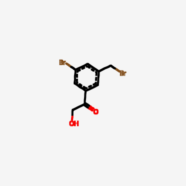 O=C(CO)c1cc(Br)cc(CBr)c1